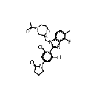 CC(=O)N1CCO[C@@H](Cn2c(-c3c(Cl)cc(N4CCCC4=O)cc3Cl)nc3c(F)c(C)ccc32)C1